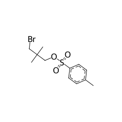 Cc1ccc(S(=O)(=O)OCC(C)(C)CBr)cc1